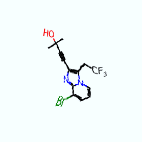 CC(C)(O)C#Cc1nc2c(Br)cccn2c1CC(F)(F)F